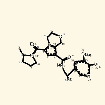 CC[C@@H](NC(=O)c1cc(C(=O)N2CCCC2C)n2c1COCC2)c1cnc(C(F)(F)F)c(OC)c1